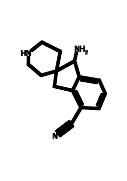 N#Cc1cccc2c1CC1(CCNCC1)C2N